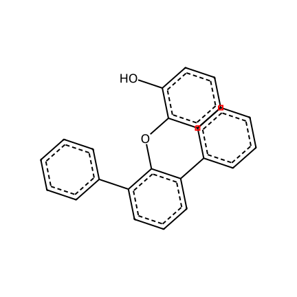 Oc1ccccc1Oc1c(-c2ccccc2)cccc1-c1ccccc1